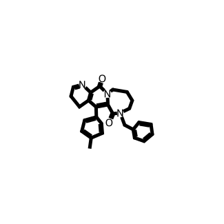 Cc1ccc(-c2c3c(c(=O)n4c2C(=O)N(Cc2ccccc2)CCCC4)N=CCC3)cc1